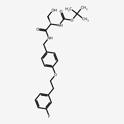 CC(C)(C)OC(=O)N[C@H](CO)C(=O)NCc1ccc(OCCc2cccc(F)c2)cc1